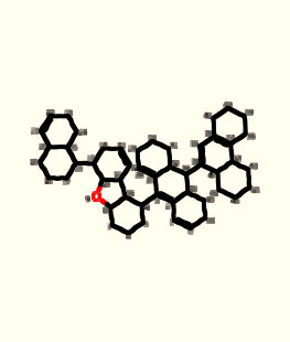 C1=CC2=C(C3CCCC4OC5C(C=CCC5C5CCCC6C=CCCC65)C43)C3=CCCCC3C(C3=CC4=C(CCCC4)C4CCCCC34)C2CC1